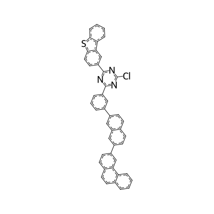 Clc1nc(-c2cccc(-c3ccc4ccc(-c5ccc6ccc7ccccc7c6c5)cc4c3)c2)nc(-c2ccc3sc4ccccc4c3c2)n1